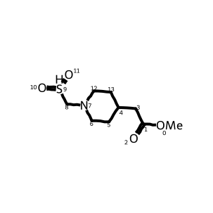 COC(=O)CC1CCN(C[SH](=O)=O)CC1